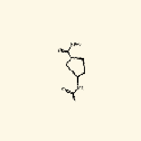 CC(=O)NC1CCC(C([NH])=O)CC1